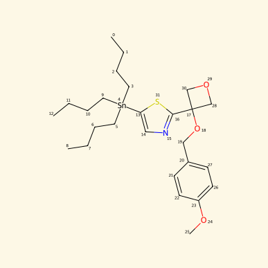 CCC[CH2][Sn]([CH2]CCC)([CH2]CCC)[c]1cnc(C2(OCc3ccc(OC)cc3)COC2)s1